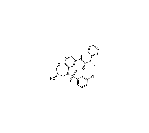 C[C@H](C(=O)Nc1cnc2c(c1)N(S(=O)(=O)c1cccc(Cl)c1)C[C@@H](O)CO2)c1ccccc1